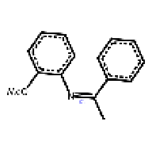 COc1ccccc1/N=C(/C)c1ccccc1